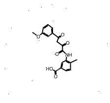 COc1cccc(C(=O)CC(=O)C(=O)Nc2cc(C(=O)O)ccc2C)c1